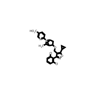 CC1C2CC(CC2OCc2c(-c3c(Cl)cccc3Cl)noc2C2CC2)N1c1ccc(C(=O)O)cn1